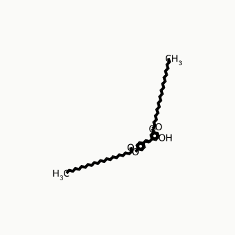 CCCCCCCCCCCCCCCCCCCCCC(=O)Oc1ccc(C=Cc2cc(O)cc(OC(=O)CCCCCCCCCCCCCCCCCCCCC)c2)cc1